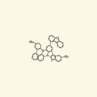 CC(C)(C)c1ccc(N2c3ccccc3B3c4sc5ccc(C(C)(C)C)cc5c4-c4cc(-c5cccc6oc7ccccc7c56)cc2c43)c(-c2ccccc2)c1